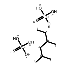 CCC(C)CC(C)C.OP(O)(O)=S.OP(O)(O)=S